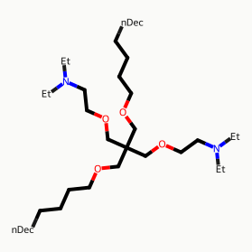 CCCCCCCCCCCCCCOCC(COCCCCCCCCCCCCCC)(COCCN(CC)CC)COCCN(CC)CC